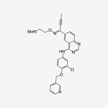 CC#CC(=NOCCNC)c1ccc2ncnc(Nc3ccc(OCc4cccnc4)c(Cl)c3)c2c1